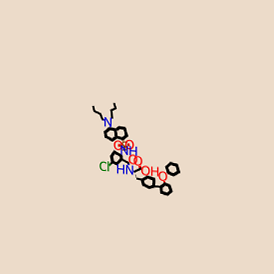 CCCCN(CCCC)c1cccc2c(S(=O)(=O)Nc3ccc(Cl)cc3C(=O)N[C@@H](Cc3ccc(-c4ccccc4Oc4ccccc4)cc3)C(=O)O)cccc12